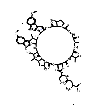 COc1ccc2[nH]cc(/C=C3/NC(=O)C4C(O)CCN4C(=O)CNC(=O)C(C)NC(=O)C(C(C)O)NC(=O)C(NC(=O)C(CO)NC(=O)CC(N)C(=O)O)C(C)OC(=O)C4C(O)CC5C(C)C(O)C(NC(=O)C(C(C)c6c[nH]c7ccc(OC)cc67)NC3=O)C(=O)N54)c2c1